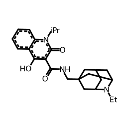 CCN1C2CC3CC1CC(CNC(=O)c1c(O)c4ccccc4n(C(C)C)c1=O)(C3)C2